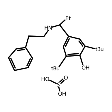 CCC(NCCc1ccccc1)c1cc(C(C)(C)C)c(O)c(C(C)(C)C)c1.O=S(O)O